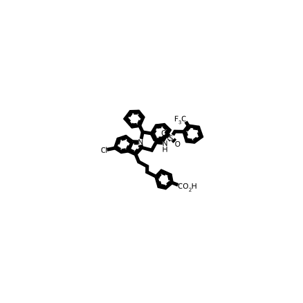 O=C(O)c1ccc(CCCc2c(CCNS(=O)(=O)Cc3ccccc3C(F)(F)F)n(C(c3ccccc3)c3ccccc3)c3ccc(Cl)cc23)cc1